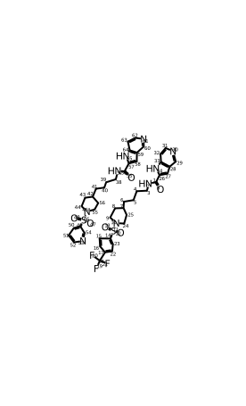 O=C(NCCCCC1CCN(S(=O)(=O)c2ccc(C(F)(F)F)cc2)CC1)c1cc2cnccc2[nH]1.O=C(NCCCCC1CCN(S(=O)(=O)c2cccnc2)CC1)c1cc2cnccc2[nH]1